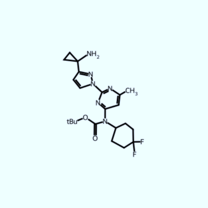 Cc1cc(N(C(=O)OC(C)(C)C)C2CCC(F)(F)CC2)nc(-n2ccc(C3(N)CC3)n2)n1